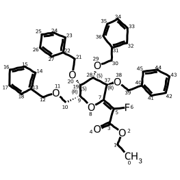 CCOC(=O)C(F)=C1O[C@H](COCc2ccccc2)[C@H](OCc2ccccc2)[C@H](OCc2ccccc2)[C@H]1OCc1ccccc1